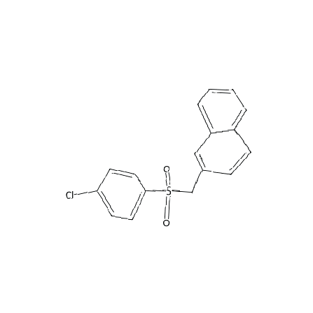 O=S(=O)(Cc1ccc2ccccc2c1)c1ccc(Cl)cc1